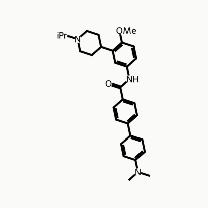 COc1ccc(NC(=O)c2ccc(-c3ccc(N(C)C)cc3)cc2)cc1C1CCN(C(C)C)CC1